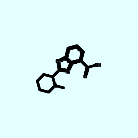 CN1CCCCC1c1nc2c(C(=O)O)cccc2o1